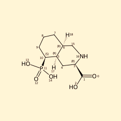 O=C(O)[C@H]1C[C@@H]2[C@@H](CCC[C@@H]2P(=O)(O)O)CN1